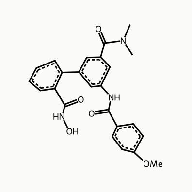 COc1ccc(C(=O)Nc2cc(C(=O)N(C)C)cc(-c3ccccc3C(=O)NO)c2)cc1